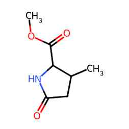 COC(=O)C1NC(=O)CC1C